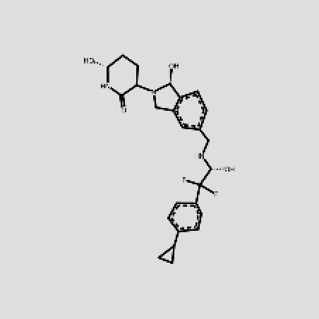 O=C1N[C@H](O)CCC1N1Cc2cc(CN[C@H](O)C(F)(F)c3ccc(C4CC4)cc3)ccc2[C@@H]1O